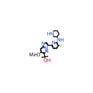 COc1cc2ncc(-c3ccc(F)c(NC4CCCNC4)n3)n2nc1C(C)(C)O